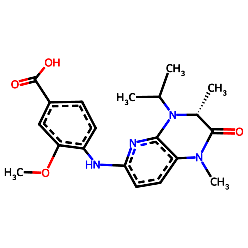 COc1cc(C(=O)O)ccc1Nc1ccc2c(n1)N(C(C)C)[C@H](C)C(=O)N2C